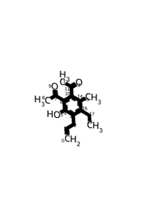 C=CCc1c(O)c(C(C)=O)c(C(C)=O)c(C)c1CC